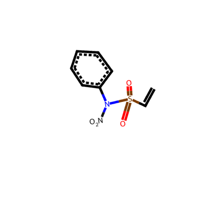 C=CS(=O)(=O)N(c1ccccc1)[N+](=O)[O-]